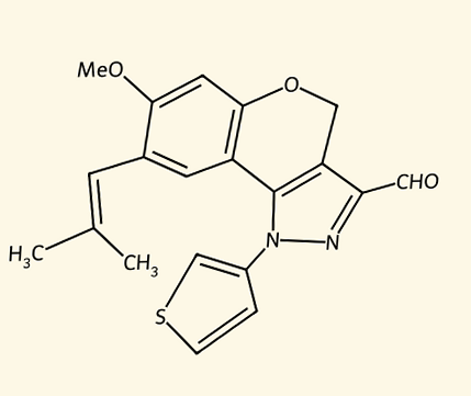 COc1cc2c(cc1C=C(C)C)-c1c(c(C=O)nn1-c1ccsc1)CO2